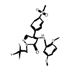 COc1ccc(OC)c(Nc2c(-c3ccc(S(C)(=O)=O)cc3)cnn(CC(F)(F)F)c2=O)c1